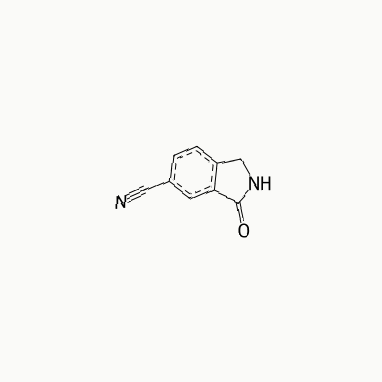 N#Cc1ccc2c(c1)C(=O)NC2